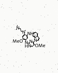 COc1cc(N(C)CCN(C)C)c(N)cc1Nc1ncc(OC)c(-n2ccc3ccccc32)n1